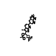 CC(=O)OC(c1sc2nc(-c3cnc4nn(C)cc4c3)ccc2c1C)C1CC(F)(F)C1